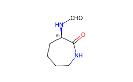 O=CN[C@@H]1CCCCNC1=O